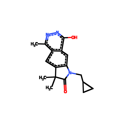 Cc1nnc(O)c2cc3c(cc12)C(C)(C)C(=O)N3CC1CC1